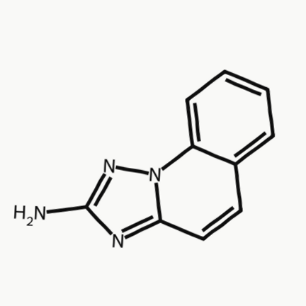 Nc1nc2ccc3ccccc3n2n1